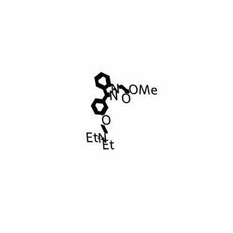 CCN(CC)CCOc1cccc(-c2nn(CC(=O)OC)c3ccccc23)c1